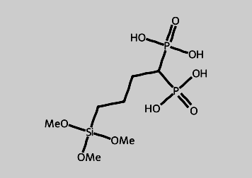 CO[Si](CCCC(P(=O)(O)O)P(=O)(O)O)(OC)OC